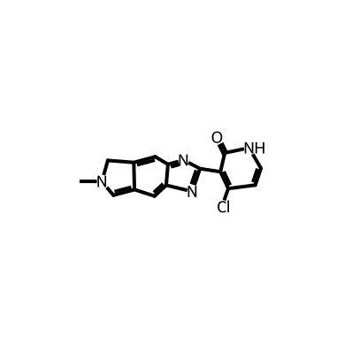 CN1C=c2cc3c(cc2C1)=NC(c1c(Cl)cc[nH]c1=O)=N3